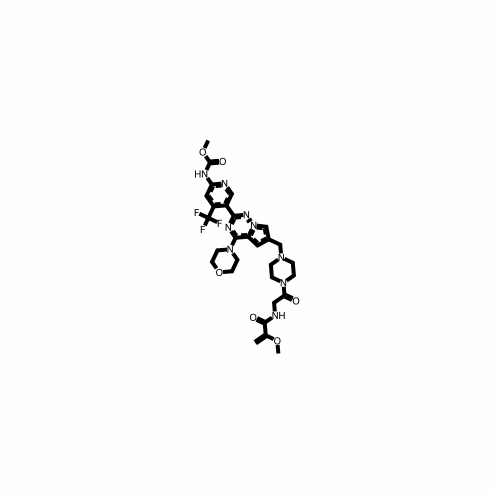 C=C(OC)C(=O)NCC(=O)N1CCN(Cc2cc3c(N4CCOCC4)nc(-c4cnc(NC(=O)OC)cc4C(F)(F)F)nn3c2)CC1